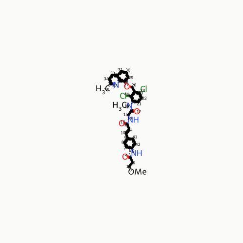 COCCC(=O)Nc1ccc(C=CC(=O)NCC(=O)N(C)c2ccc(Cl)c(COc3cccc4ccc(C)nc34)c2Cl)cc1